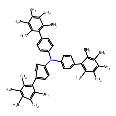 Bc1c(B)c(B)c(-c2ccc(N(c3ccc(-c4c(B)c(B)c(B)c(B)c4B)cc3)c3ccc(-c4c(B)c(B)c(B)c(B)c4B)cc3)cc2)c(B)c1B